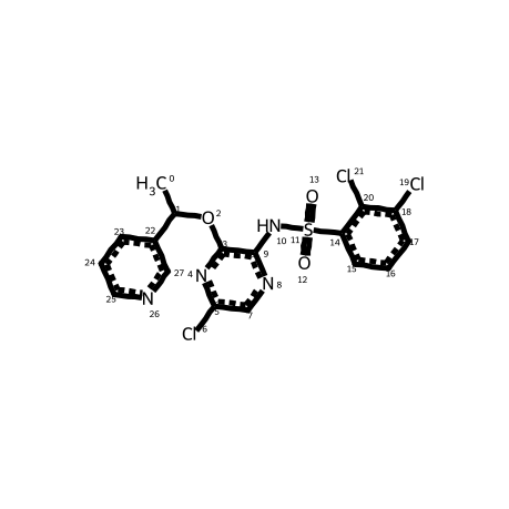 CC(Oc1nc(Cl)cnc1NS(=O)(=O)c1cccc(Cl)c1Cl)c1cccnc1